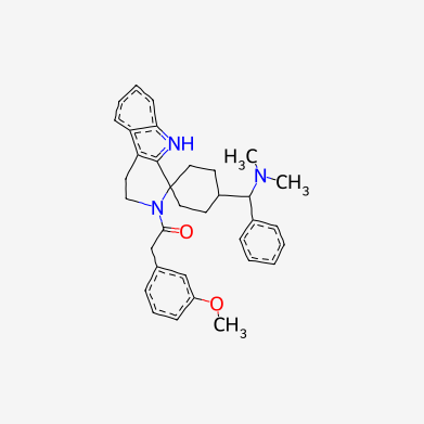 COc1cccc(CC(=O)N2CCc3c([nH]c4ccccc34)C23CCC(C(c2ccccc2)N(C)C)CC3)c1